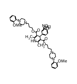 COc1ccccc1N1CCN(CCCOC(=O)C2=C(C)NC(C)=C(C(=O)OCCCN3CCN(c4ccccc4OC)CC3)C2c2cccc([N+](=O)[O-])c2)CC1.Cl.Cl